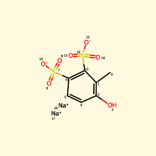 Cc1c(O)ccc(S(=O)(=O)[O-])c1S(=O)(=O)[O-].[Na+].[Na+]